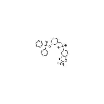 [2H]C1([2H])Oc2ccc(C([2H])([2H])CN3CCC[C@@H](OC([2H])(c4ccccc4)c4ccccc4)C3)cc2O1